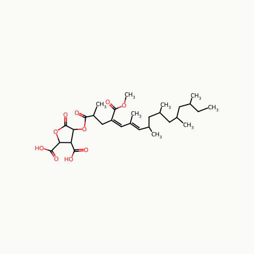 CCC(C)CC(C)CC(C)CC(C)/C=C(C)/C=C(/CC(C)C(=O)OC1C(=O)OC(C(=O)O)C1C(=O)O)C(=O)OC